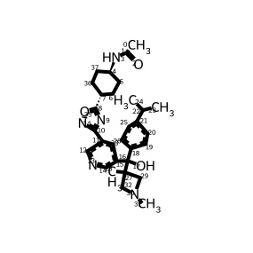 CC(=O)N[C@H]1CC[C@H](c2nc(-c3cncc(C(O)(c4ccc(C(C)C)cc4)C4(C)CN(C)C4)c3)no2)CC1